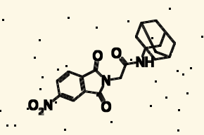 O=C(CN1C(=O)c2ccc([N+](=O)[O-])cc2C1=O)NC12CC3CC(CC(C3)C1)C2